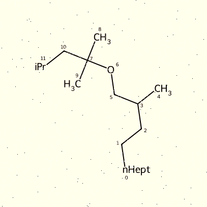 CCCCCCCCCC(C)COC(C)(C)CC(C)C